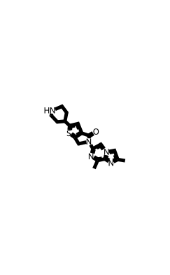 Cc1cn2cc(N3Cc4sc(C5CCNCC5)cc4C3=O)nc(C)c2n1